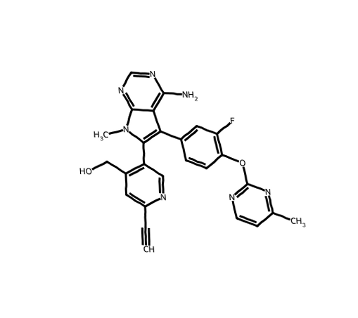 C#Cc1cc(CO)c(-c2c(-c3ccc(Oc4nccc(C)n4)c(F)c3)c3c(N)ncnc3n2C)cn1